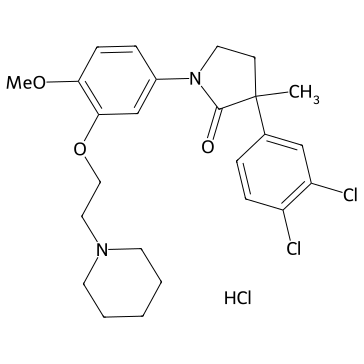 COc1ccc(N2CCC(C)(c3ccc(Cl)c(Cl)c3)C2=O)cc1OCCN1CCCCC1.Cl